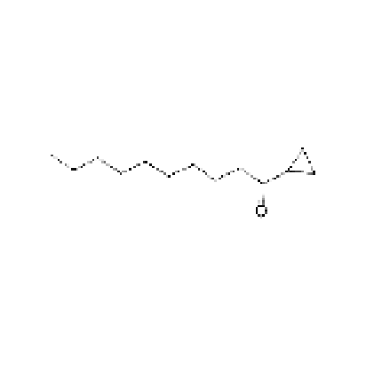 CCCCCCCCCC(=O)C1CC1